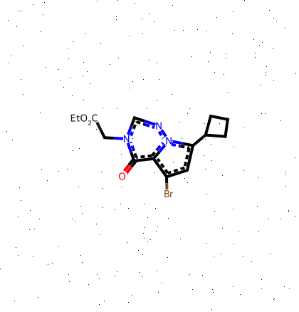 CCOC(=O)Cn1cnn2c(C3CCC3)cc(Br)c2c1=O